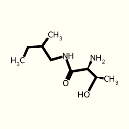 CCC(C)CNC(=O)[C@@H](N)[C@@H](C)O